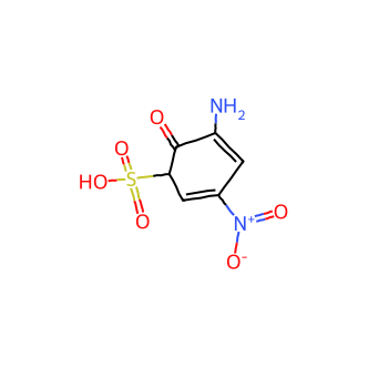 NC1=CC([N+](=O)[O-])=CC(S(=O)(=O)O)C1=O